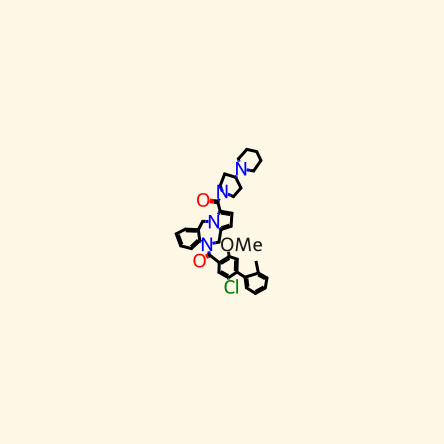 COc1cc(-c2ccccc2C)c(Cl)cc1C(=O)N1Cc2ccc(C(=O)N3CCC(N4CCCCC4)CC3)n2Cc2ccccc21